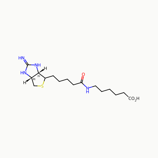 N=C1N[C@H]2CSC(CCCCC(=O)NCCCCCC(=O)O)[C@H]2N1